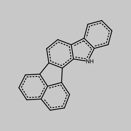 c1cc2c3c(cccc3c1)-c1c-2ccc2c1[nH]c1ccccc12